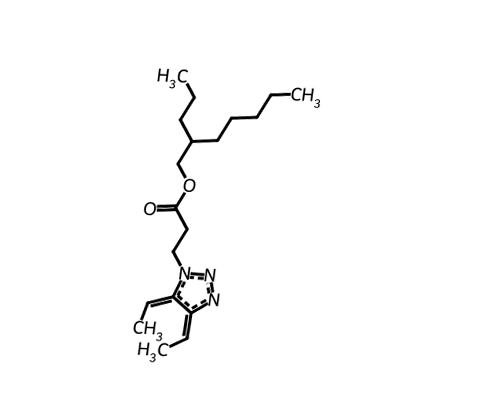 C/C=c1/nnn(CCC(=O)OCC(CCC)CCCCC)/c1=C/C